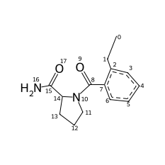 CCc1ccccc1C(=O)N1CCCC1C(N)=O